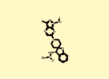 CC(C)(C)[S+]([O-])N[C@@H]1c2ccccc2OC12CCN(c1cnc3c(I)nn(PI)c3n1)CC2